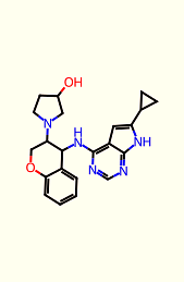 OC1CCN(C2COc3ccccc3C2Nc2ncnc3[nH]c(C4CC4)cc23)C1